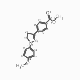 COC(=O)c1ccc(C2=NN(c3ccc(OC)cc3)CC2)cc1